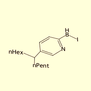 CCCCCCC(CCCCC)c1ccc(BI)nc1